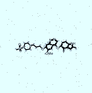 COc1cc2c(Oc3ccc4[nH]c(C)cc4c3F)cnnc2cc1OCCCN1CCN(S(C)(=O)=O)CC1